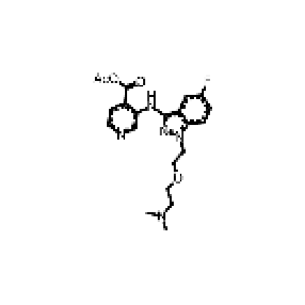 CC(=O)OC(=O)c1ccncc1Nc1nn(CCOCCN(C)C)c2ccc(F)cc12